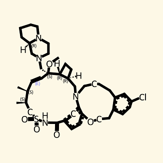 CO[C@]1(CN2CCN3CCCC[C@@H]3C2)/C=C/[C@H](C)[C@H](C)CS(=O)(=O)NC(=O)c2ccc3c(c2)N(CCCCc2cc(Cl)ccc2CCO3)C[C@@H]2CC[C@H]21